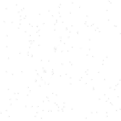 Cc1ccc(C(=O)N2CCc3cc(-c4noc(C(F)(F)F)n4)sc3C2)c(C)c1